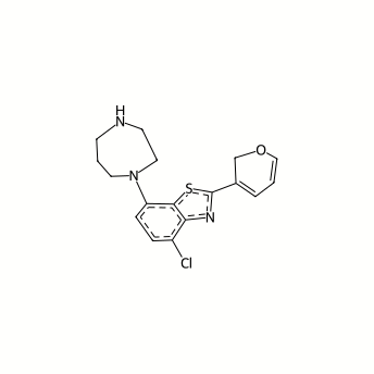 Clc1ccc(N2CCCNCC2)c2sc(C3=CC=COC3)nc12